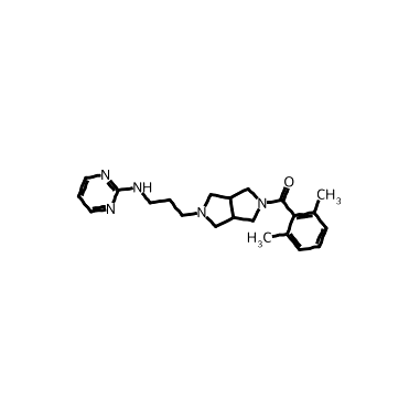 Cc1cccc(C)c1C(=O)N1CC2CN(CCCNc3ncccn3)CC2C1